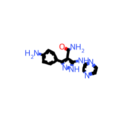 NC(=O)c1c(-c2ccc(N)cc2)n[nH]c1Nc1cnccn1